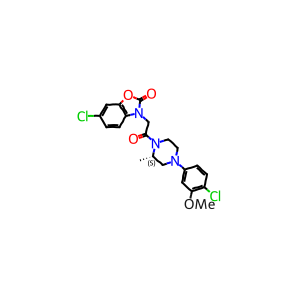 COc1cc(N2CCN(C(=O)Cn3c(=O)oc4cc(Cl)ccc43)[C@@H](C)C2)ccc1Cl